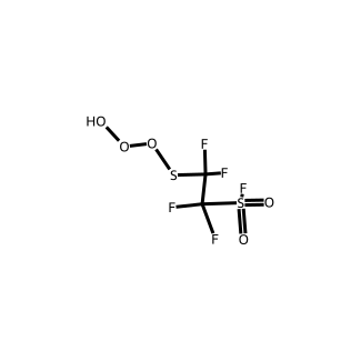 O=S(=O)(F)C(F)(F)C(F)(F)SOOO